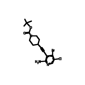 CC(C)(C)OC(=O)N1CCC(C#Cc2c(N)ncc(Cl)c2Br)CC1